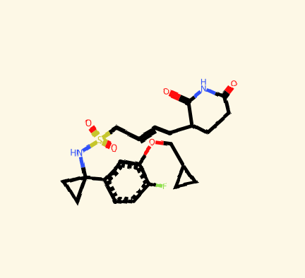 O=C1CCC(C/C=C/CS(=O)(=O)NC2(c3ccc(F)c(OCC4CC4)c3)CC2)C(=O)N1